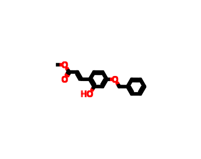 COC(=O)C=Cc1ccc(OCc2ccccc2)cc1O